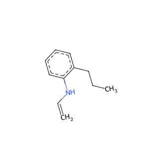 C=CNc1ccccc1CCC